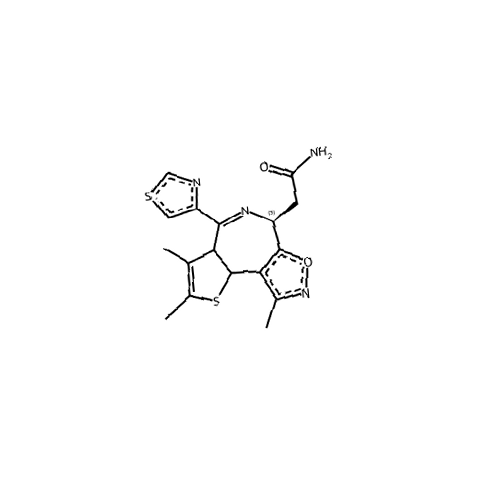 CC1=C(C)C2C(c3cscn3)=N[C@@H](CC(N)=O)c3onc(C)c3C2S1